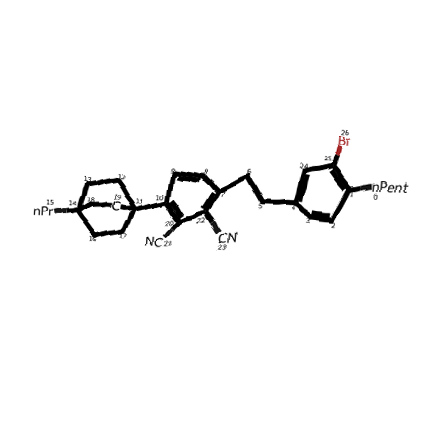 CCCCCc1ccc(CCc2ccc(C34CCC(CCC)(CC3)CC4)c(C#N)c2C#N)cc1Br